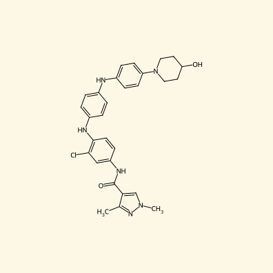 Cc1nn(C)cc1C(=O)Nc1ccc(Nc2ccc(Nc3ccc(N4CCC(O)CC4)cc3)cc2)c(Cl)c1